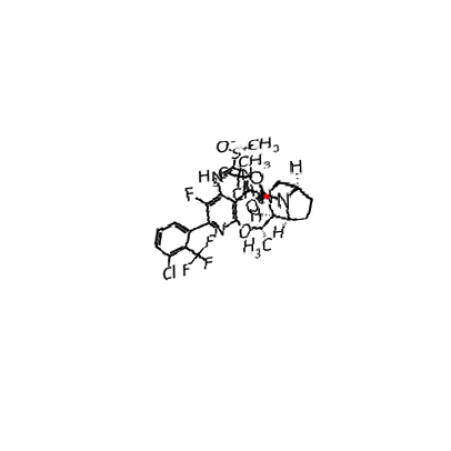 C[C@@H]1Oc2nc(-c3cccc(Cl)c3C(F)(F)F)c(F)c3nc([S+](C)[O-])nc(c23)N2C[C@H]3CC[C@@H]([C@@H]12)N3C(=O)OC(C)(C)C